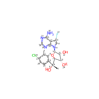 Cc1cc([C@@](C)(O)[C@H]2O[C@@H](n3cc(F)c4c(N)ncnc43)[C@H](O)[C@@H]2O)ccc1Cl